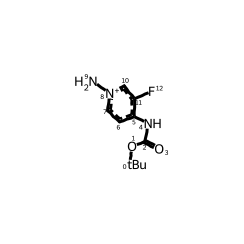 CC(C)(C)OC(=O)Nc1cc[n+](N)cc1F